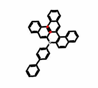 c1ccc(-c2ccc(N(c3ccc4ccccc4c3)c3ccc4ccccc4c3-c3ccc4ccccc4c3)cc2)cc1